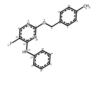 Cc1ccc(COc2ncc(F)c(Nc3ccccc3)n2)cc1